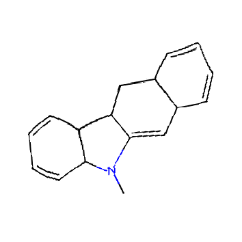 CN1C2=CC3C=CC=CC3CC2C2C=CC=CC21